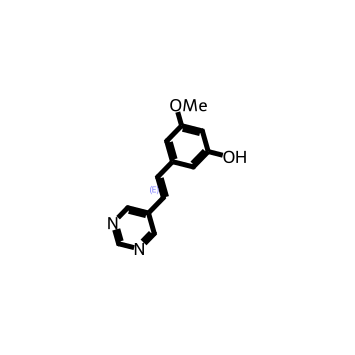 COc1cc(O)cc(/C=C/c2cncnc2)c1